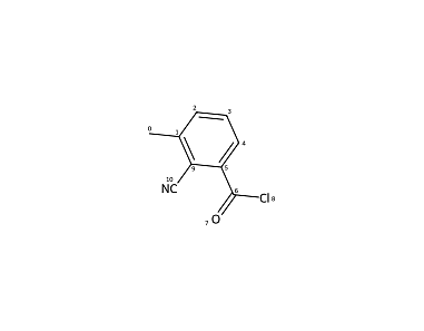 Cc1cccc(C(=O)Cl)c1C#N